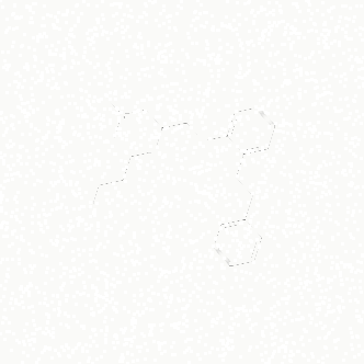 CN(C)CC(COc1ccccc1CCc1ccccc1)OCCCC(=O)O